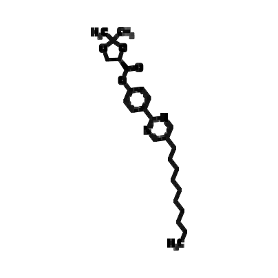 CCCCCCCCCCc1cnc(-c2ccc(OC(=O)[C@H]3COC(C)(C)O3)cc2)nc1